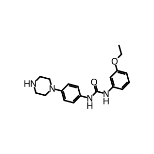 CCOc1cccc(NC(=O)Nc2ccc(N3CCNCC3)cc2)c1